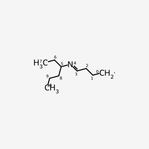 [CH2]CCC=NC(CC)CCC